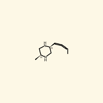 CC=C=C[C@H]1CN[C@@H](C)CN1